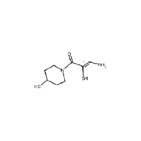 N/C=C(\S)C(=O)N1CCC(O)CC1